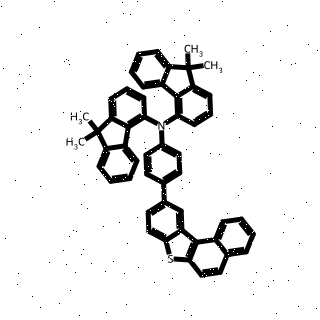 CC1(C)c2ccccc2-c2c(N(c3ccc(-c4ccc5sc6ccc7ccccc7c6c5c4)cc3)c3cccc4c3-c3ccccc3C4(C)C)cccc21